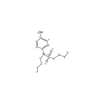 CCCCN(c1ccc(O)cc1)S(=O)(=O)CCCC